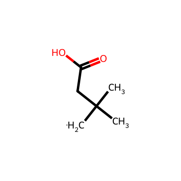 [CH2]C(C)(C)CC(=O)O